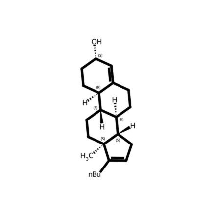 CCCCC1=CC[C@H]2[C@@H]3CCC4=C[C@@H](O)CC[C@@H]4[C@H]3CC[C@]12C